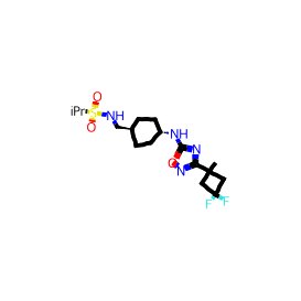 CC(C)S(=O)(=O)NC[C@H]1CC[C@H](Nc2nc(C3(C)CC(F)(F)C3)no2)CC1